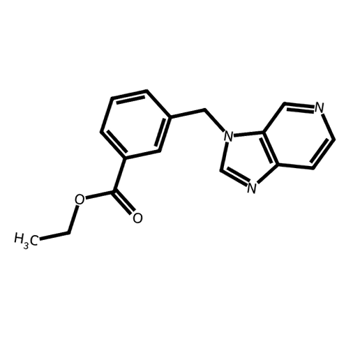 CCOC(=O)c1cccc(Cn2cnc3ccncc32)c1